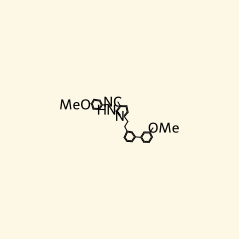 COc1ccc(CNc2nc(CCc3cccc(-c4cccc(OC)c4)c3)ccc2C#N)cc1